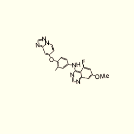 COc1cc(F)c2c(Nc3ccc(Oc4ccn5ncnc5c4)c(C)c3)ncnc2c1